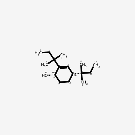 CCC(C)(C)C1=C[C@H](C(C)(C)CC)CC[C@@H]1O